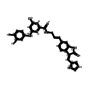 O=C1Nc2cc(/C=C/CNC(=O)c3nc(Cl)cc(Nc4ccc(F)c(F)c4)n3)ccc2/C1=C/c1cnc[nH]1